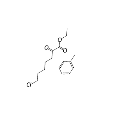 CCOC(=O)C(=O)CCCCCCl.Cc1ccccc1